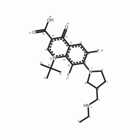 CCNCC1CCN(c2c(F)cc3c(=O)c(C(=O)O)cn(C(C)(C)C)c3c2F)C1